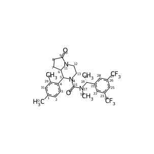 Cc1ccc(C2C3CCC(=O)N3CCN2C(=O)N(C)[C@H](C)c2cc(C(F)(F)F)cc(C(F)(F)F)c2)c(C)c1